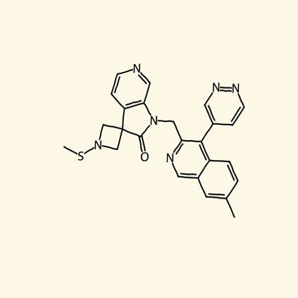 CSN1CC2(C1)C(=O)N(Cc1ncc3cc(C)ccc3c1-c1ccnnc1)c1cnccc12